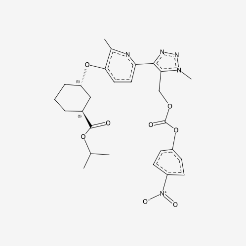 Cc1nc(-c2nnn(C)c2COC(=O)Oc2ccc([N+](=O)[O-])cc2)ccc1O[C@H]1CCC[C@H](C(=O)OC(C)C)C1